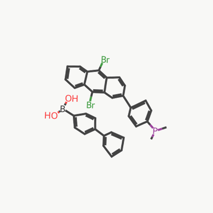 CP(C)c1ccc(-c2ccc3c(Br)c4ccccc4c(Br)c3c2)cc1.OB(O)c1ccc(-c2ccccc2)cc1